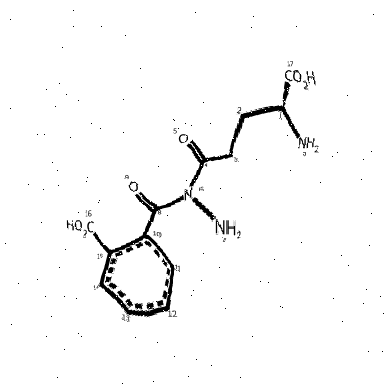 N[C@@H](CCC(=O)N(N)C(=O)c1ccccc1C(=O)O)C(=O)O